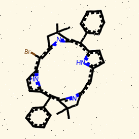 CC1(C)Cc2nc1c(-c1ccccc1)c1ccc(cc3nc(c(-c4ccccc4)c4ccc([nH]4)c2Br)C(C)(C)C3)[nH]1